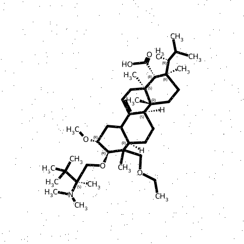 CCOCC1(C)[C@@H]2CC[C@H]3C(=CC[C@@]4(C)[C@H](C(=O)O)[C@@](C)([C@H](C)C(C)C)CC[C@]34C)C2C[C@@H](OC)[C@@H]1OC[C@@](C)(N(C)C)C(C)(C)C